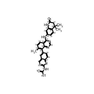 CCC(=O)Nc1ncc2cc(-c3c(C)ccc4c(Nc5ccc6c(c5)NC(=O)CC6(C)C)ncnc34)ccc2n1